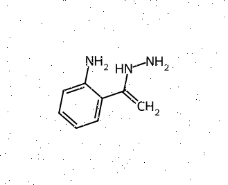 C=C(NN)c1ccccc1N